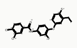 CCc1cc(Oc2ccc(NC(=O)c3ccc(Cl)c(Cl)c3)cc2F)ccc1[S]